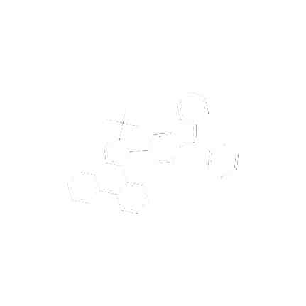 CC(C)(O)c1nc2c3cccnc3c3cccnc3n2c1-c1ccc2c(c1)c1ccccc1n2-c1ccccc1